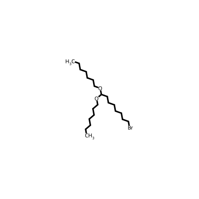 CCCCCCCOC(CCCCCCCBr)OCCCCCCC